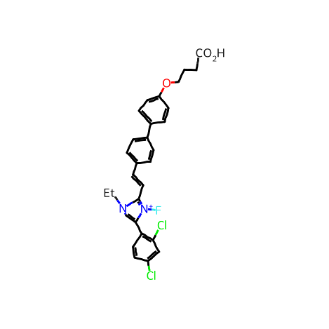 CCn1cc(-c2ccc(Cl)cc2Cl)[n+](F)c1/C=C/c1ccc(-c2ccc(OCCCC(=O)O)cc2)cc1